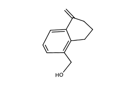 C=C1CCCc2c(CO)cccc21